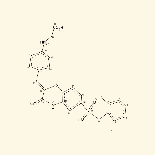 Cc1cccc(C)c1CS(=O)(=O)c1ccc2c(c1)NC(=O)/C(=C/c1ccc(NCC(=O)O)cc1)S2